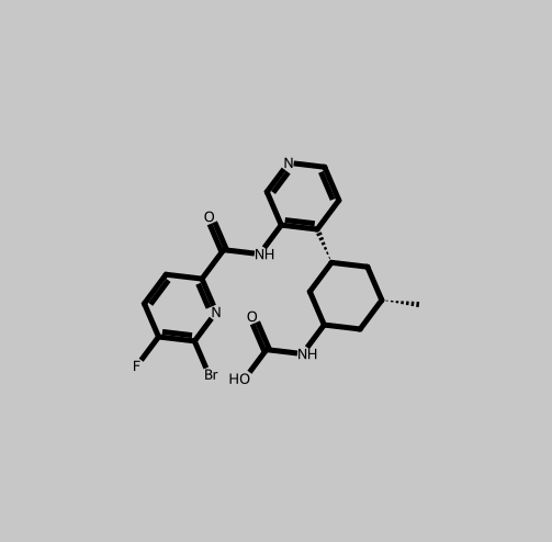 C[C@@H]1CC(NC(=O)O)C[C@H](c2ccncc2NC(=O)c2ccc(F)c(Br)n2)C1